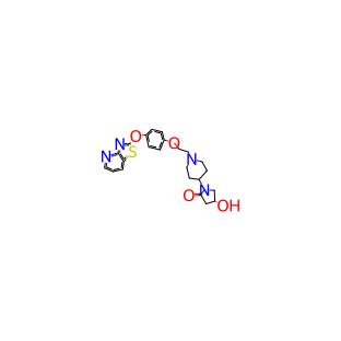 O=C1C[C@@H](O)CN1C1CCN(CCOc2ccc(Oc3nc4ncccc4s3)cc2)CC1